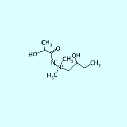 CCC(O)C[N+](C)(C)[N-]C(=O)C(C)O